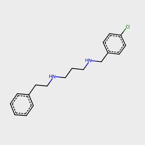 Clc1ccc(CNCCCNCCc2ccccc2)cc1